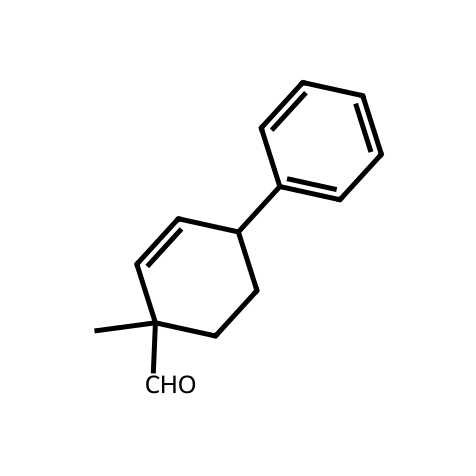 CC1(C=O)C=CC(c2ccccc2)CC1